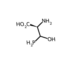 N[C@H](C(=O)O)C(O)P